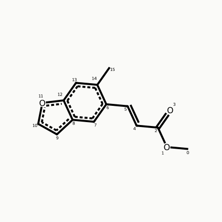 COC(=O)/C=C/c1cc2ccoc2cc1C